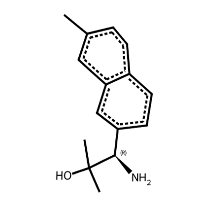 Cc1ccc2ccc([C@@H](N)C(C)(C)O)cc2c1